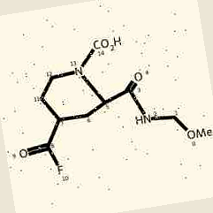 COCNC(=O)C1CC(C(=O)F)CCN1C(=O)O